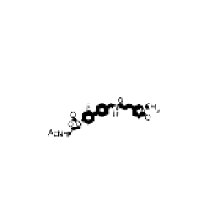 CC(=O)NC[C@H]1CN(c2ccc(-c3ccc(CNC(=O)/C=C/c4ccc(=O)n(C)c4)cc3)c(F)c2)C(=O)O1